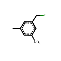 Cc1cc(CF)cc([N+](=O)[O-])c1